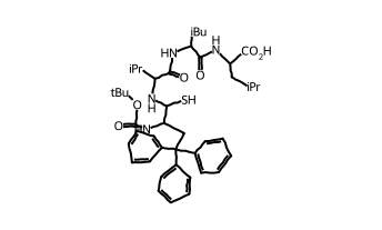 CCC(C)C(NC(=O)C(NC(S)C(CC(c1ccccc1)(c1ccccc1)c1ccccc1)NC(=O)OC(C)(C)C)C(C)C)C(=O)NC(CC(C)C)C(=O)O